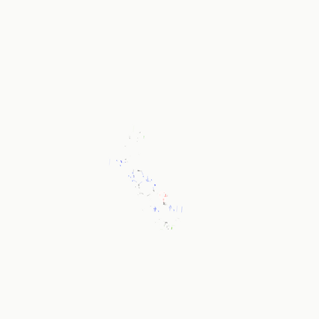 C[C@@H](c1cnn2cc([C@@H](N)C3CCC(F)(F)CC3)nc2c1)N1CC(F)(F)CNC1=O